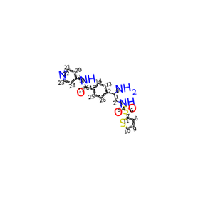 NC(CNS(=O)(=O)c1cccs1)c1ccc(C(=O)Nc2ccncc2)cc1